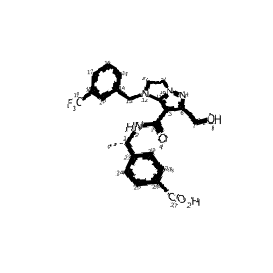 C[C@H](NC(=O)c1c(CO)nn2c1N(Cc1cccc(C(F)(F)F)c1)CC2)c1ccc(C(=O)O)cc1